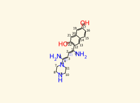 N/C(=C\C=C(/N)N1CCNCC1)c1cc2ccc(O)cc2cc1O